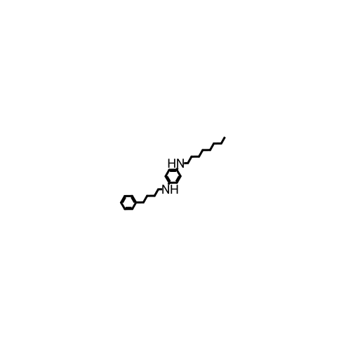 CCCCCCCCNc1ccc(NCCCCc2ccccc2)cc1